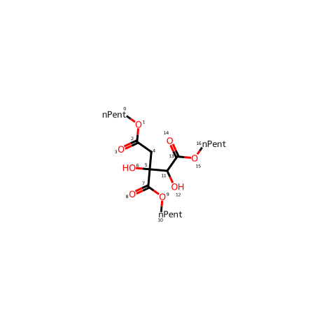 CCCCCOC(=O)CC(O)(C(=O)OCCCCC)C(O)C(=O)OCCCCC